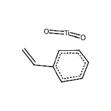 C=Cc1ccccc1.[O]=[Ti]=[O]